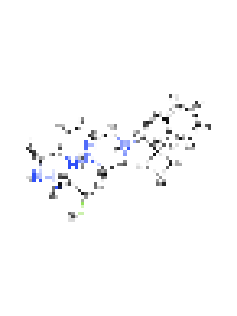 C=C(N)CN(NC(=C)CN(CCCC)C(=C)C1(c2ccccc2)CCC1)C(=C)CF